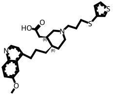 COc1ccc2nccc(CCC[C@@H]3CCN(CCCSc4ccsc4)C[C@@H]3CC(=O)O)c2c1